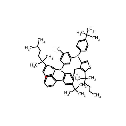 CCCCC(C)(C)c1scc(N(c2ccc(C(C)(C)C)cc2)c2cc(C)cc(N(c3cccc(C(C)(C)CCC(C)C)c3)c3ccc(C(C)(C)C)cc3-c3ccccc3)c2)c1CC